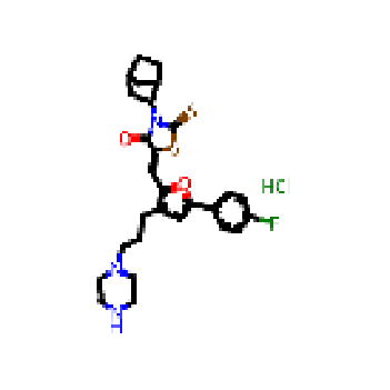 Cl.O=C1/C(=C/c2oc(-c3ccc(F)cc3)cc2CCCN2CCNCC2)SC(=S)N1C1CC2CCC1C2